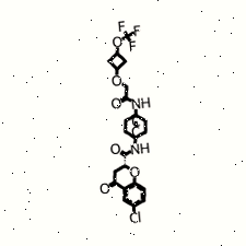 O=C(COC1CC(OC(F)(F)F)C1)NC12CCC(NC(=O)[C@H]3CC(=O)c4cc(Cl)ccc4O3)(CC1)CC2